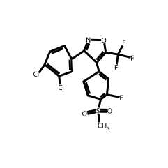 CS(=O)(=O)c1ccc(-c2c(-c3ccc(Cl)c(Cl)c3)noc2C(F)(F)F)cc1F